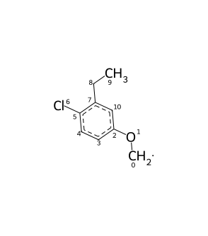 [CH2]Oc1ccc(Cl)c(CC)c1